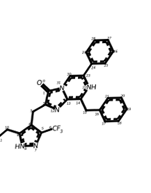 O=c1c(Cc2c(C(F)(F)F)n[nH]c2CCl)nc2c(Cc3ccccc3)[nH]c(-c3ccccc3)cn1-2